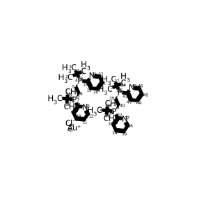 CC(C)(C)[P@@](CC[P@@](c1ccccn1)C(C)(C)C)c1ccccn1.CC(C)(C)[P@@](CC[P@@](c1ccccn1)C(C)(C)C)c1ccccn1.[Au+].[Cl-]